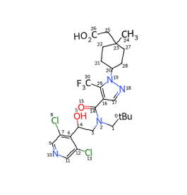 CC(C)(C)CN(CC(O)c1c(Cl)cncc1Cl)C(=O)c1cnn(C2CCC(C)(CC(=O)O)CC2)c1C(F)(F)F